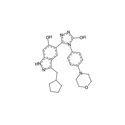 Oc1cc2[nH]nc(CC3CCCC3)c2cc1-c1nnc(O)n1-c1ccc(N2CCOCC2)cc1